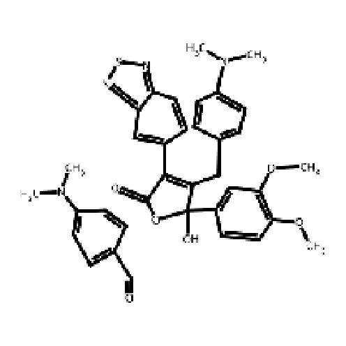 CN(C)c1ccc(C=O)cc1.COc1ccc(C2(O)OC(=O)C(c3ccc4nsnc4c3)=C2Cc2ccc(N(C)C)cc2)cc1OC